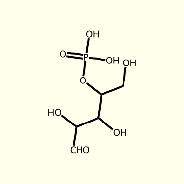 O=CC(O)C(O)C(CO)OP(=O)(O)O